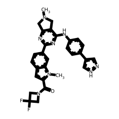 CN1Cc2nc(-c3ccc4cc(C(=O)N5CC(F)(F)C5)n(C)c4c3)nc(Nc3ccc(-c4cn[nH]c4)cc3)c2C1